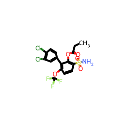 CCC(=O)Oc1c(S(N)(=O)=O)ccc(OC(F)(F)F)c1-c1ccc(Cl)c(Cl)c1